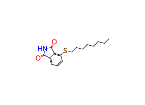 CCCCCCCCSc1cccc2c1C(=O)NC2=O